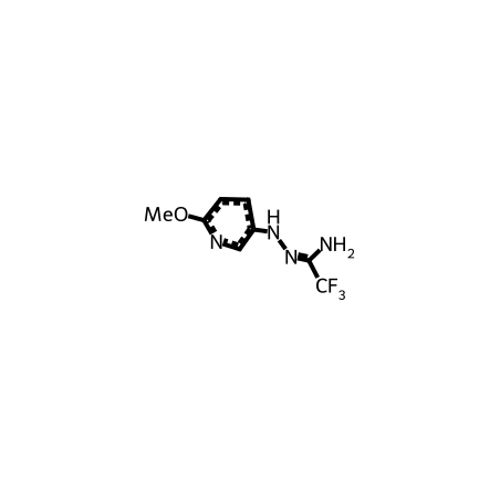 COc1ccc(N/N=C(\N)C(F)(F)F)cn1